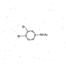 CC(=O)Nc1ccc(Br)c(Br)c1